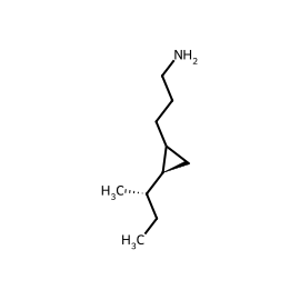 CC[C@H](C)[C@@H]1CC1CCCN